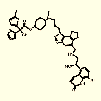 Cc1ccc(C(O)(C(=O)O[C@H]2CC[C@H](N(C)CCCn3nnc4cc(CNC[C@H](O)c5ccc(O)c6[nH]c(=O)ccc56)c5c(c43)CCC5)CC2)c2cccs2)s1